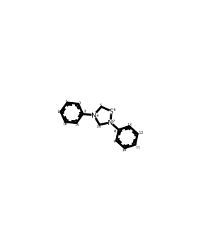 c1ccc(N2CSN(c3ccccc3)C2)cc1